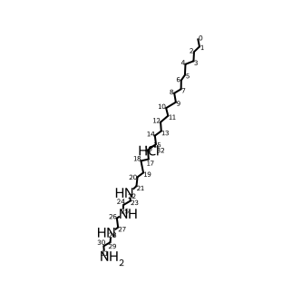 CCCCCCCCCCCCCCCCCCCCCCNCCNCCNCCN.Cl